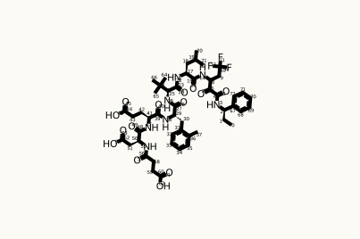 CC[C@@H](NC(=O)C(=O)C(CC(F)(F)F)NC(=O)[C@H](CC(C)C)NC(=O)[C@@H](NC(=O)[C@H](Cc1ccccc1C)NC(=O)[C@H](CCC(=O)O)NC(=O)[C@H](CC(=O)O)NC(=O)CCC(=O)O)C(C)(C)C)c1ccccc1